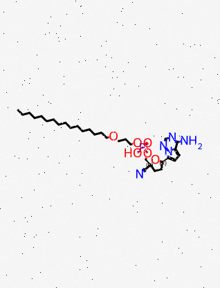 CCCCCCCCCCCCCCCCOCCCOP(=O)(O)OC[C@]1(C#N)CC[C@H](c2ccc3c(N)ncnn23)O1